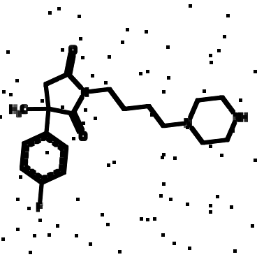 CC1(c2ccc(F)cc2)CC(=O)N(CCCCN2CCNCC2)C1=O